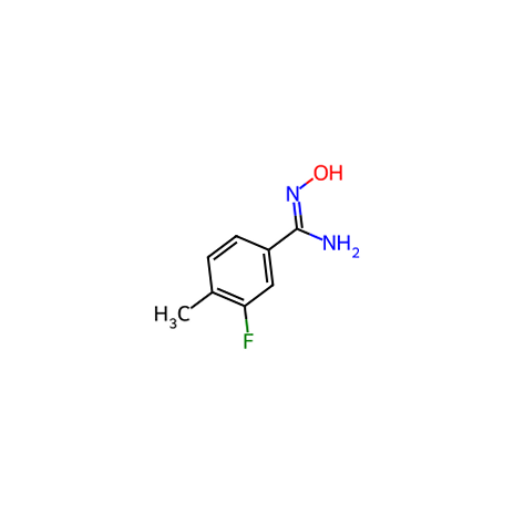 Cc1ccc(/C(N)=N/O)cc1F